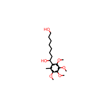 COc1c(C)c(C(O)CCCCCCCO)c(OC)c(OC)c1OC